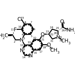 C=CCN(c1cccc(Cl)c1F)c1ncnc2cc(OC)c(O[C@H]3C[C@H](C(N)=O)N(C)C3)cc12